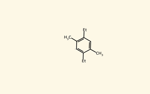 CCc1[c]c(C)c(CC)cc1C